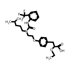 CCOC(Cc1ccc(OCCN(CCCC(C)C)C(=O)Nc2ccccc2C(F)(F)F)cc1)C(=O)O